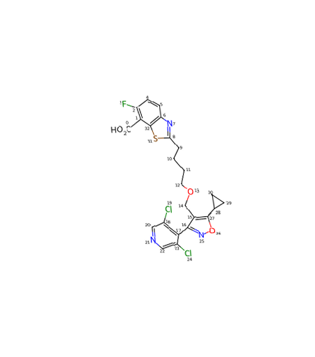 O=C(O)c1c(F)ccc2nc(CCCCOCc3c(-c4c(Cl)cncc4Cl)noc3C3CC3)sc12